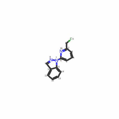 FCc1cccc(-n2ncc3ccccc32)n1